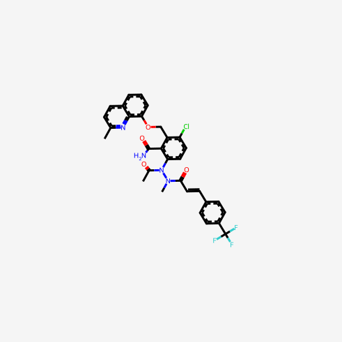 CC(=O)N(c1ccc(Cl)c(COc2cccc3ccc(C)nc23)c1C(N)=O)N(C)C(=O)/C=C/c1ccc(C(F)(F)F)cc1